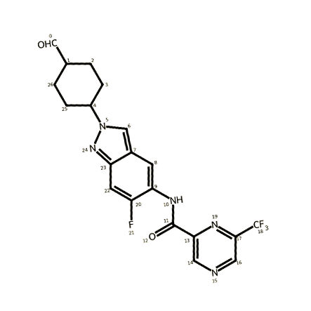 O=CC1CCC(n2cc3cc(NC(=O)c4cncc(C(F)(F)F)n4)c(F)cc3n2)CC1